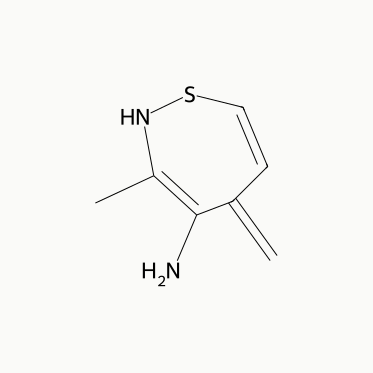 C=C1C=CSNC(C)=C1N